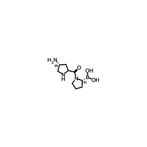 N[C@H]1CNC(C(=O)N2CCC[C@H]2B(O)O)C1